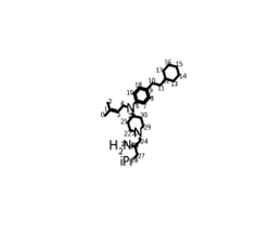 CC(C)=CCN(c1ccc(CCC2CCCCC2)cc1)C1CCN(C[C@H](N)CC(C)C)CC1